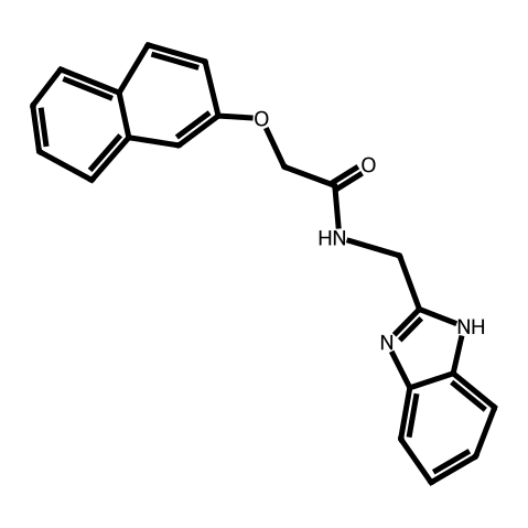 O=C(COc1ccc2ccccc2c1)NCc1nc2ccccc2[nH]1